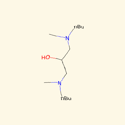 CCCCN(C)CC(O)CN(C)CCCC